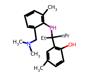 CCCC(CC)(Pc1c(C)cccc1CN(C)C)c1cc(C)ccc1O